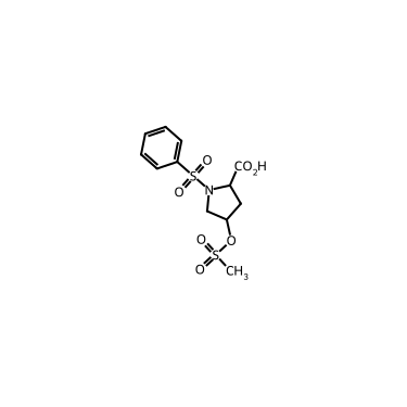 CS(=O)(=O)OC1CC(C(=O)O)N(S(=O)(=O)c2ccccc2)C1